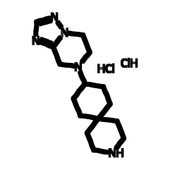 Cl.Cl.c1nc2n(n1)CCN(C1CCC3(CCNCC3)CC1)C2